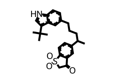 CC(CCCc1ccc2[nH]cc(C(C)(C)C)c2c1)c1ccc2c(c1)C(=O)CS2(=O)=O